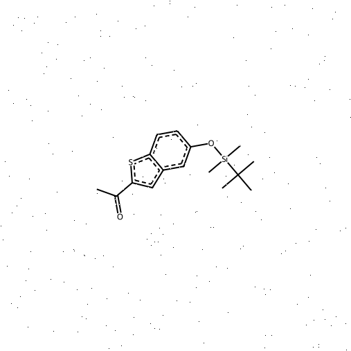 CC(=O)c1cc2cc(O[Si](C)(C)C(C)(C)C)ccc2s1